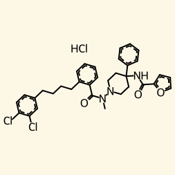 CN(C(=O)c1ccccc1CCCCc1ccc(Cl)c(Cl)c1)N1CCC(NC(=O)c2ccco2)(c2ccccc2)CC1.Cl